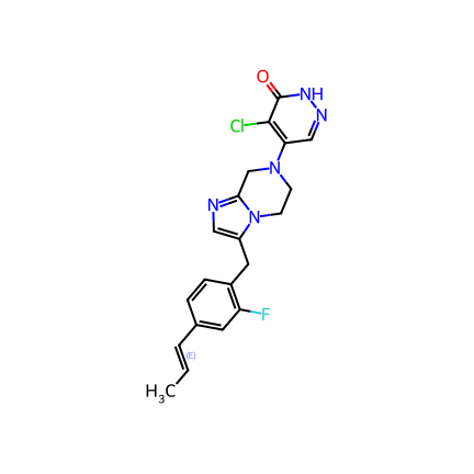 C/C=C/c1ccc(Cc2cnc3n2CCN(c2cn[nH]c(=O)c2Cl)C3)c(F)c1